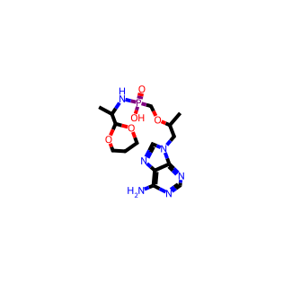 CC(Cn1cnc2c(N)ncnc21)OCP(=O)(O)NC(C)C1OCCCO1